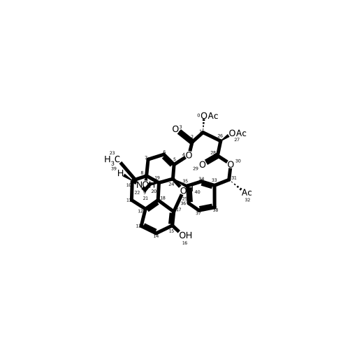 CC(=O)O[C@@H](C(=O)OC1=CC[C@@]2(O)[C@H]3Cc4ccc(O)c5c4[C@@]2(CCN3C)[C@H]1O5)[C@@H](OC(C)=O)C(=O)O[C@H](C(C)=O)c1ccccc1